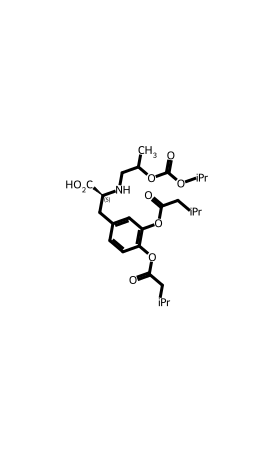 CC(C)CC(=O)Oc1ccc(C[C@H](NCC(C)OC(=O)OC(C)C)C(=O)O)cc1OC(=O)CC(C)C